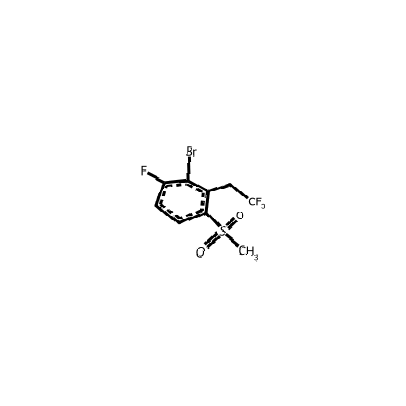 CS(=O)(=O)c1ccc(F)c(Br)c1CC(F)(F)F